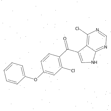 O=C(c1ccc(Oc2ccccc2)cc1Cl)c1c[nH]c2ncnc(Cl)c12